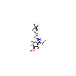 C=Cc1nn(COCC[Si](C)(C)C)c2ccc(OC)c(F)c12